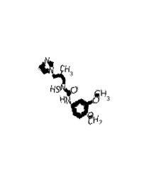 COc1ccc(NC(=O)N(S)C[C@@H](C)Cn2ccnc2)cc1OC